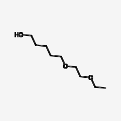 CCOCCOCCCCCO